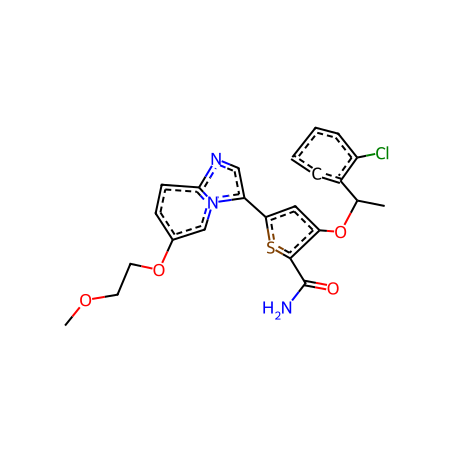 COCCOc1ccc2ncc(-c3cc(OC(C)c4ccccc4Cl)c(C(N)=O)s3)n2c1